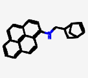 C1=CC2CC1CC2CNc1ccc2ccc3cccc4ccc1c2c34